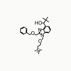 CC(C)(C)C(O)c1cccc2c1nc(COCc1ccccc1)n2COCC[Si](C)(C)C